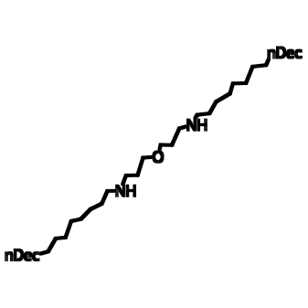 CCCCCCCCCCCCCCCCCCNCCCOCCCNCCCCCCCCCCCCCCCCCC